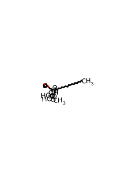 CCCCCCCCCCCCCCCCCC(=O)N(CCCCc1ccccc1)C[C@H]1O[C@H](OC)[C@H](O)[C@@H](O)[C@@H]1O